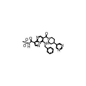 CS(=O)(=O)NC(=O)c1cnn2c(NCc3ccccc3)c(C(=O)N3CCC(c4cncnc4)CC3)cnc12